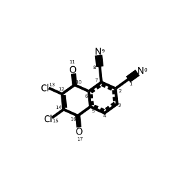 N#Cc1ccc2c(c1C#N)C(=O)C(Cl)=C(Cl)C2=O